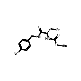 CC(C)C[C@H](NC(=O)OC(C)(C)C)C(=O)NCc1ccc(C#N)cc1